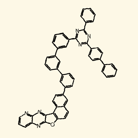 c1ccc(-c2ccc(-c3nc(-c4ccccc4)nc(-c4cccc(-c5cccc(-c6cccc(-c7ccc8c(ccc9oc%10nc%11cccnc%11nc%10c98)c7)c6)c5)c4)n3)cc2)cc1